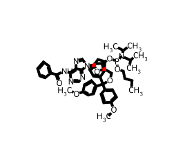 CCCCOP(OC1CC(n2cnc3c(NC(=O)c4ccccc4)ncnc32)OC1COC(c1ccccc1)(c1ccc(OC)cc1)c1ccc(OC)cc1)N(C(C)C)C(C)C